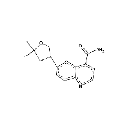 CC1(C)CC(c2ccc3nccc(C(N)=O)c3c2)CO1